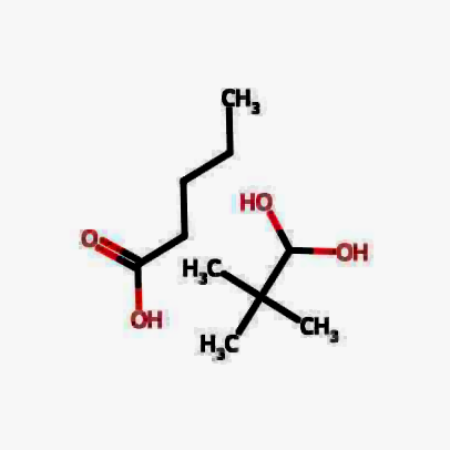 CC(C)(C)C(O)O.CCCCC(=O)O